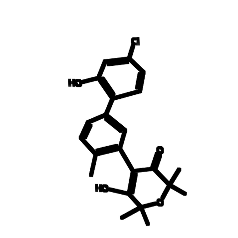 Cc1ccc(-c2ccc(Cl)cc2O)cc1C1=C(O)C(C)(C)OC(C)(C)C1=O